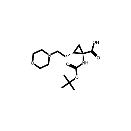 CC(C)(C)OC(=O)N[C@]1(C(=O)O)C[C@H]1CCN1CCOCC1